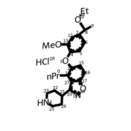 CCCc1c(Oc2ccc(C(C)OCC)cc2OC)ccc2onc(C3CCNCC3)c12.Cl